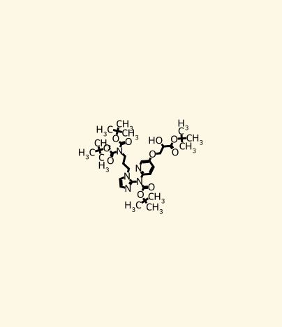 CC(C)(C)OC(=O)C(O)COc1ccc(N(C(=O)OC(C)(C)C)c2nccn2CCCN(C(=O)OC(C)(C)C)C(=O)OC(C)(C)C)nc1